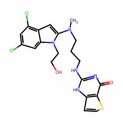 CN(CCCNc1nc(=O)c2sccc2[nH]1)c1cc2c(Cl)cc(Cl)cc2n1CCO